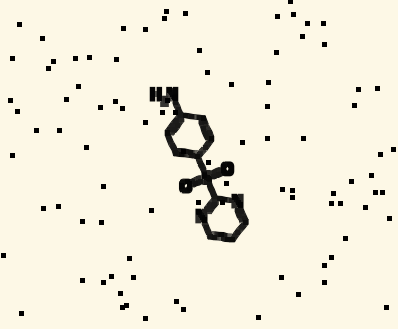 Nc1ccc(S(=O)(=O)c2ncccn2)cc1